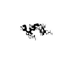 Cc1cnnc(Nc2ccc3ncc(-c4cn(C)nc4-c4cccnc4)cc3n2)c1